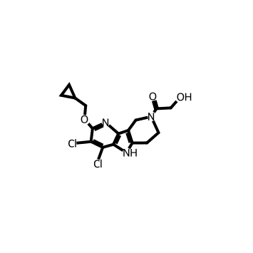 O=C(CO)N1CCc2[nH]c3c(Cl)c(Cl)c(OCC4CC4)nc3c2C1